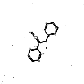 [CH]=C=C(Cc1ccccc1)c1ccccc1